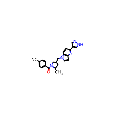 CC1CC(Cn2ccc3nc(-c4cn[nH]c4)ccc32)CN1C(=O)c1ccc(C#N)cc1